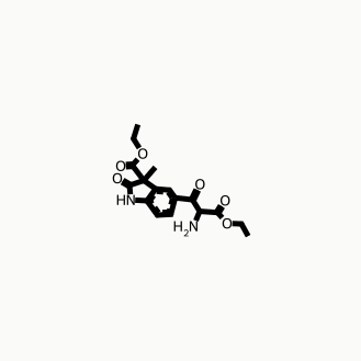 CCOC(=O)C(N)C(=O)c1ccc2c(c1)C(C)(C(=O)OCC)C(=O)N2